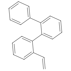 C=Cc1ccccc1-c1ccccc1-c1ccccc1